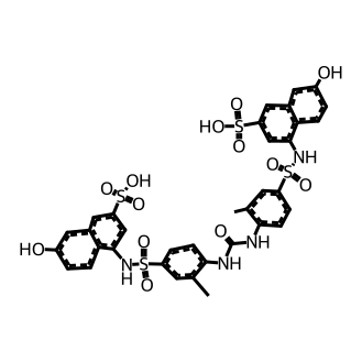 Cc1cc(S(=O)(=O)Nc2cc(S(=O)(=O)O)cc3cc(O)ccc23)ccc1NC(=O)Nc1ccc(S(=O)(=O)Nc2cc(S(=O)(=O)O)cc3cc(O)ccc23)cc1C